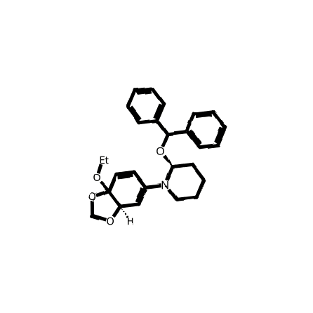 CCOC12C=CC(N3CCCC[C@@H]3OC(c3ccccc3)c3ccccc3)=C[C@H]1OCO2